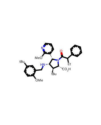 CCC(C(=O)N1[C@H](C(=O)O)[C@@H](C(C)(C)C)[C@H](NCc2cc(C(C)(C)C)ccc2OC)[C@@H]1c1cccnc1OC)c1ccccc1